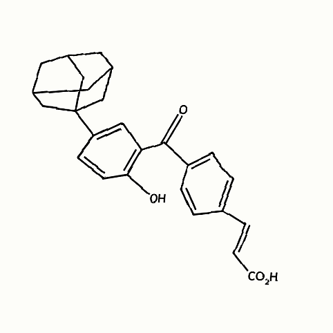 O=C(O)C=Cc1ccc(C(=O)c2cc(C34CC5CC(CC(C5)C3)C4)ccc2O)cc1